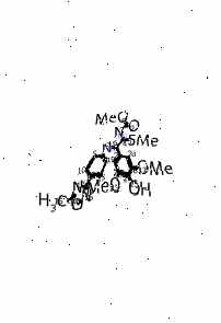 COC(=O)/N=C(SC)/C(=N/c1ccc(-c2noc(C)n2)cc1)c1cc(OC)c(O)c(OC)c1